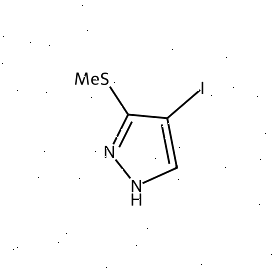 CSc1n[nH]cc1I